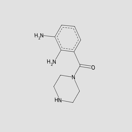 Nc1cccc(C(=O)N2CCNCC2)c1N